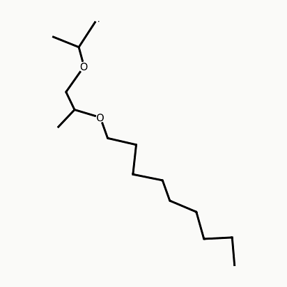 [CH2]C(C)OCC(C)OCCCCCCCCC